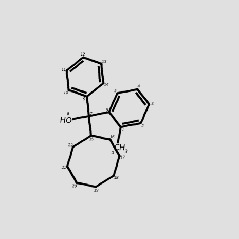 Cc1ccccc1C(O)(c1ccccc1)C1CCCCCCC1